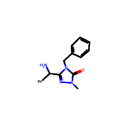 CC(C)C(N)c1nn(C)c(=O)n1Cc1ccccc1